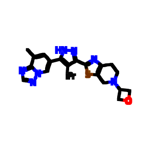 Cc1cc(-c2[nH]nc(-c3nc4c(s3)CN(C3COC3)CC4)c2C(C)C)cn2ncnc12